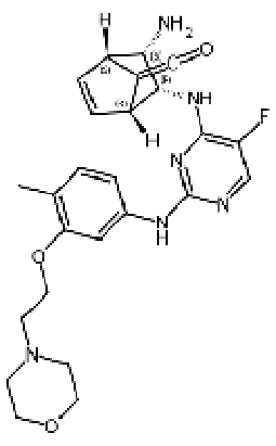 Cc1ccc(Nc2ncc(F)c(N[C@H]3[C@@H](N)[C@H]4C=C[C@@H]3C4=C=O)n2)cc1OCCN1CCOCC1